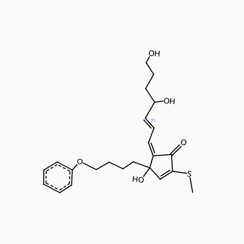 CSC1=CC(O)(CCCCOc2ccccc2)C(=C/C=C/C(O)CCCO)C1=O